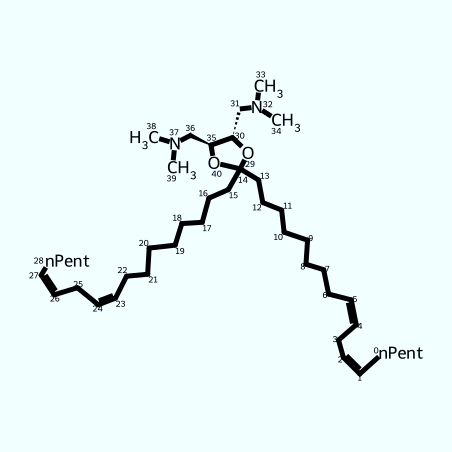 CCCCC/C=C\C/C=C\CCCCCCCCC1(CCCCCCCC/C=C\C/C=C\CCCCC)O[C@@H](CN(C)C)[C@H](CN(C)C)O1